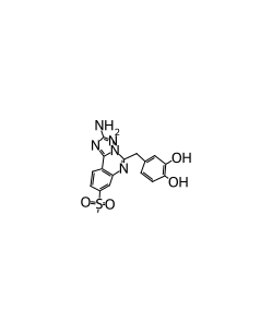 CS(=O)(=O)c1ccc2c(c1)nc(Cc1ccc(O)c(O)c1)n1nc(N)nc21